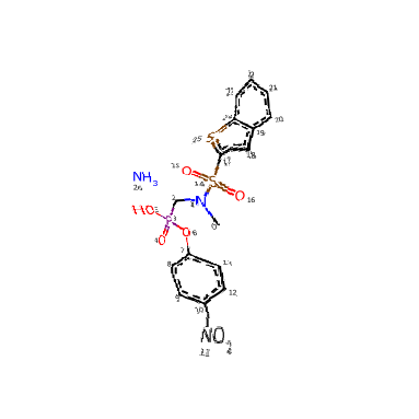 CN(CP(=O)(O)Oc1ccc([N+](=O)[O-])cc1)S(=O)(=O)c1cc2ccccc2s1.N